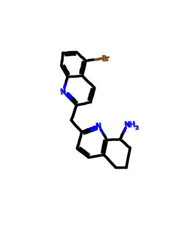 NC1CCCc2ccc(Cc3ccc4c(Br)cccc4n3)nc21